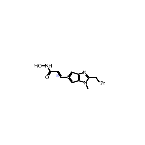 CC(C)Cc1nc2c(n1C)C=I(/C=C/C(=O)NO)=C2